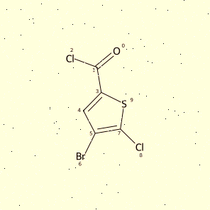 O=C(Cl)c1cc(Br)c(Cl)s1